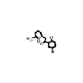 Cc1cccc(CC(=O)c2cc(Br)ccc2Cl)[n+]1[O-]